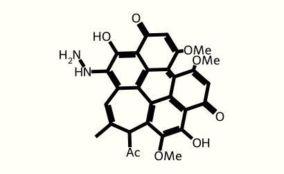 COc1c(O)c2c(=O)cc(OC)c3c4c(OC)cc(=O)c5c(O)c(NN)c6c(c(c1C(C(C)=O)C(C)=C6)c23)c54